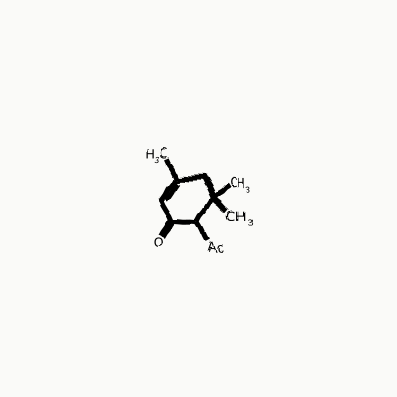 CC(=O)C1C(=O)C=C(C)CC1(C)C